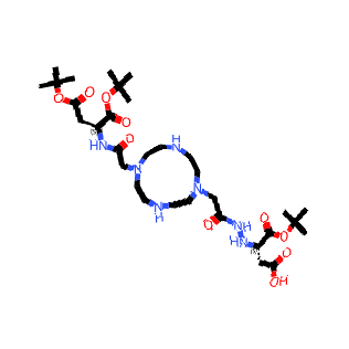 CC(C)(C)OC(=O)C[C@H](NC(=O)CN1CCNCCN(CC(=O)NN[C@@H](CC(=O)O)C(=O)OC(C)(C)C)CCNCC1)C(=O)OC(C)(C)C